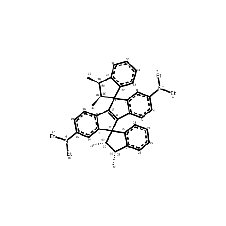 CCN(CC)c1ccc2c(c1)C1(C3=C2C2(c4cc(N(CC)CC)ccc43)c3ccccc3[C@H](C)[C@@H]2C)c2ccccc2[C@H](C)[C@@H]1C